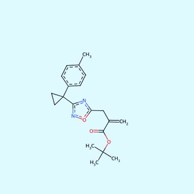 C=C(Cc1nc(C2(c3ccc(C)cc3)CC2)no1)C(=O)OC(C)(C)C